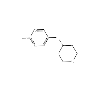 Oc1ccc(SC2CCNCC2)cc1